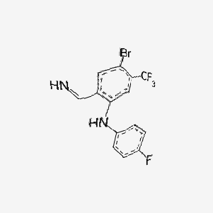 N=Cc1cc(Br)c(C(F)(F)F)cc1Nc1ccc(F)cc1